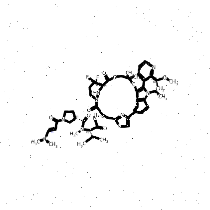 CCn1c(-c2cccnc2[C@H](C)OC)c2c3cc(ccc31)-c1csc(n1)C[C@H](NC(=O)[C@H](C(C)C)N(C)C(=O)[C@H]1CCN(C(=O)/C=C/N(C)C)C1)C(=O)N1CCC(F)(F)[C@H](N1)C(=O)OCC(C)(C)C2